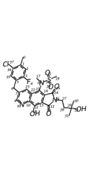 Cc1cc(F)c(Cc2cnc3c(O)c4c(c(N(C)S(C)(=O)=O)c3c2)C(=O)N(CCC(C)(C)O)C4=O)cc1Cl